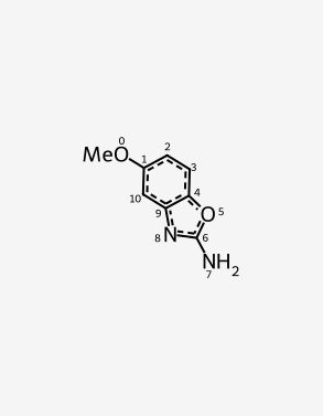 COc1ccc2oc(N)nc2c1